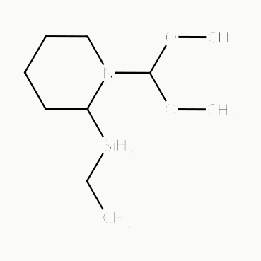 CC[SiH2]C1CCCCN1C(OC)OC